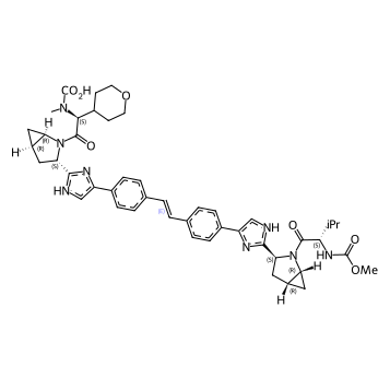 COC(=O)N[C@H](C(=O)N1[C@@H]2C[C@@H]2C[C@H]1c1nc(-c2ccc(/C=C/c3ccc(-c4c[nH]c([C@@H]5C[C@H]6C[C@H]6N5C(=O)[C@H](C5CCOCC5)N(C)C(=O)O)n4)cc3)cc2)c[nH]1)C(C)C